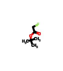 CC(C)(C)OC(=O)CF